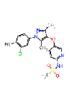 Cc1nn(-c2ccc(C#N)c(Cl)c2)c(C)c1Oc1ccc(NS(C)(=O)=O)nc1